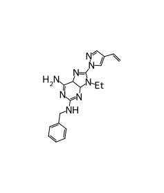 C=Cc1cnn(C2=NC3C(N)=NC(NCc4ccccc4)=NC3N2CC)c1